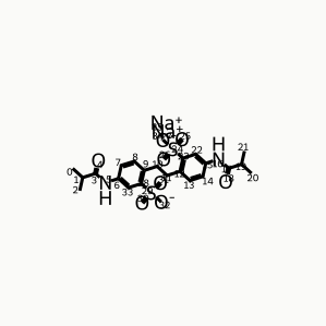 CC(C)C(=O)Nc1ccc(CCc2ccc(NC(=O)C(C)C)cc2S(=O)(=O)[O-])c(S(=O)(=O)[O-])c1.[Na+].[Na+]